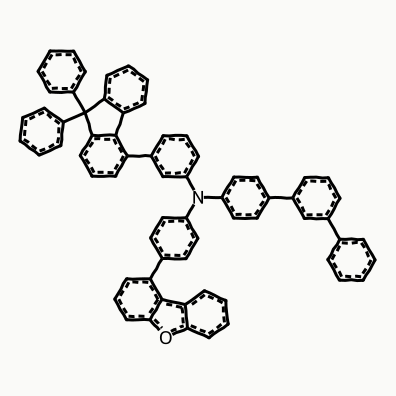 c1ccc(-c2cccc(-c3ccc(N(c4ccc(-c5cccc6oc7ccccc7c56)cc4)c4cccc(-c5cccc6c5-c5ccccc5C6(c5ccccc5)c5ccccc5)c4)cc3)c2)cc1